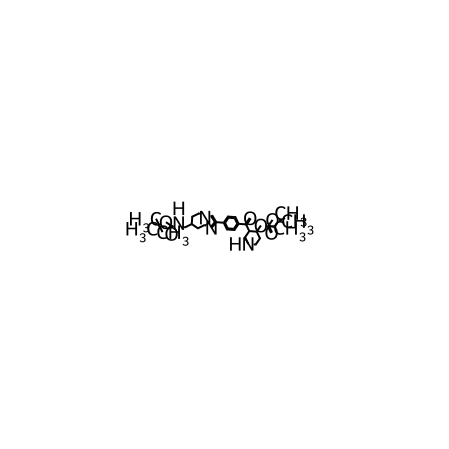 CC(C)(C)OC(=O)NCC1CCn2cc(-c3ccc(C(=O)C4CNCCC4OC(=O)OC(C)(C)C)cc3)nc2C1